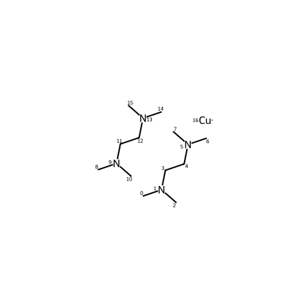 CN(C)CCN(C)C.CN(C)CCN(C)C.[Cu]